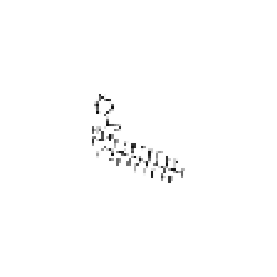 O=C(NC(F)(F)C(F)C(F)(F)C(F)(F)C(F)(F)C(F)(F)C(F)(F)C(F)(F)C(F)(F)C(F)(F)F)c1ccncc1